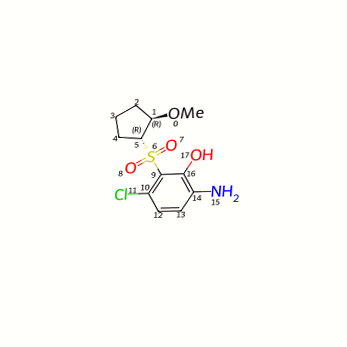 CO[C@@H]1CCC[C@H]1S(=O)(=O)c1c(Cl)ccc(N)c1O